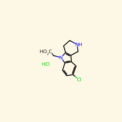 Cl.O=C(O)Cn1c2c(c3cc(Cl)ccc31)CNCC2